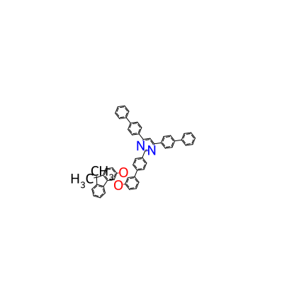 CC1(C)c2ccccc2-c2c1ccc1c2Oc2cccc(-c3ccc(-c4nc(-c5ccc(-c6ccccc6)cc5)cc(-c5ccc(-c6ccccc6)cc5)n4)cc3)c2O1